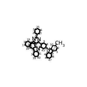 CC1C=Cc2c(n(-c3ccc(-c4cc(-c5ccccc5)nc(-c5ccccc5)n4)c(-n4c5ccccc5c5ccccc54)c3)c3ccccc23)C1